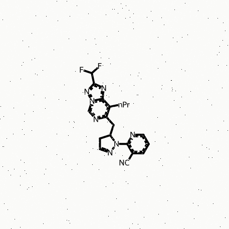 CCCc1c(CC2CC=NN2c2ncccc2C#N)ncn2nc(C(F)F)nc12